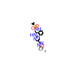 O=S(=O)(NCC(Nc1ncc(-c2noc(C(F)(F)F)n2)cn1)c1ccccc1)C1CC1